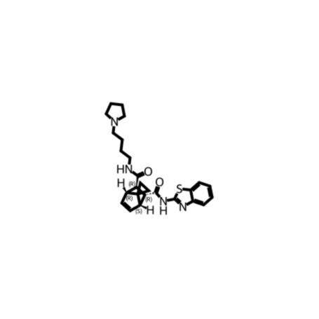 O=C(NCCCCN1CCCC1)[C@H]1[C@H](C(=O)Nc2nc3ccccc3s2)[C@@H]2C=C[C@H]1C21CC1